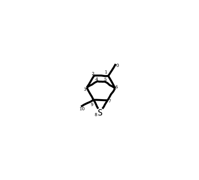 CC1CC2CCC1C1SC21C